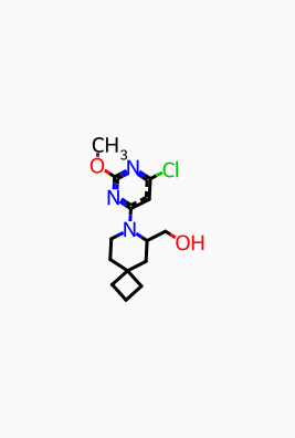 COc1nc(Cl)cc(N2CCC3(CCC3)CC2CO)n1